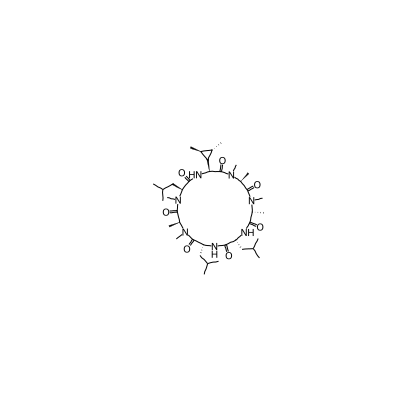 CC(C)C[C@H]1NC(=O)[C@@H](C)N(C)C(=O)[C@H](C)N(C)C(=O)[C@H](C2[C@@H](C)[C@@H]2C)NC(=O)[C@H](CC(C)C)N(C)C(=O)[C@H](C)N(C)C(=O)[C@@H](CC(C)C)NC1=O